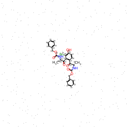 C[C@H](NC(=O)OCc1ccccc1)C(=O)c1ccc(O)c(Br)c1C(=O)[C@H](C)NC(=O)OCc1ccccc1